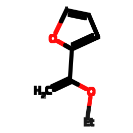 C=C(OCC)c1cc[c]o1